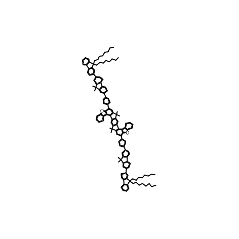 CCCCCCCCC1(CCCCCCCC)c2ccccc2-c2ccc(-c3ccc4c(c3)C(C)(C)c3cc(-c5ccc(-c6cc7c(c8c6oc6ccccc68)-c6cc8c(cc6C7(C)C)-c6c(cc(-c7ccc(-c9ccc%10c(c9)C(C)(C)c9cc(-c%11ccc%12c(c%11)C(CCCCCCCC)(CCCCCCCC)c%11ccccc%11-%12)ccc9-%10)cc7)c7oc9ccccc9c67)C8(C)C)cc5)ccc3-4)cc21